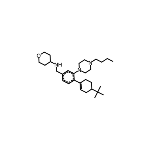 CCCCN1CCN(c2cc(CNC3CCOCC3)ccc2C2=CCC(C(C)(C)C)CC2)CC1